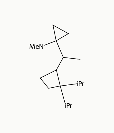 CNC1(C(C)C2CCC2(C(C)C)C(C)C)CC1